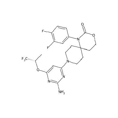 C[C@H](Oc1cc(N2CCC3(CCOC(=O)N3c3ccc(F)c(F)c3)CC2)nc(N)n1)C(F)(F)F